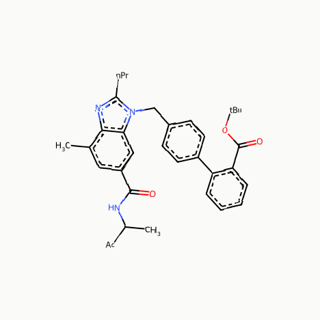 CCCc1nc2c(C)cc(C(=O)NC(C)C(C)=O)cc2n1Cc1ccc(-c2ccccc2C(=O)OC(C)(C)C)cc1